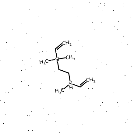 C=C[SiH](C)CC[Si](C)(C)C=C